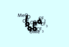 COC(=O)COC(=O)c1ccc(-c2ccc(OC)c(-c3ccc(C(F)(F)F)cc3CN3C(=O)O[C@H](c4cc(C(F)(F)F)cc(C(F)(F)F)c4)[C@@H]3C)c2)c(C)c1